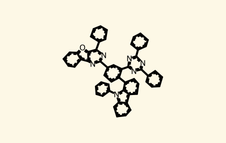 c1ccc(-c2nc(-c3ccccc3)nc(-c3cc(-c4nc(-c5ccccc5)c5oc6ccccc6c5n4)ccc3-c3cccc4c5ccccc5n(-c5ccccc5)c34)n2)cc1